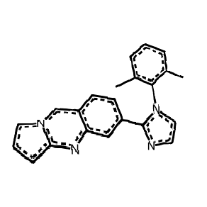 Cc1cccc(C)c1-n1ccnc1-c1ccc2cn3cccc3nc2c1